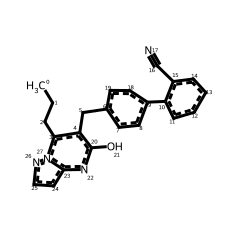 CCCc1c(Cc2ccc(-c3ccccc3C#N)cc2)c(O)nc2ccnn12